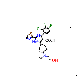 CC(=O)N(CCO)C1CCC(C2=C(C(=O)O)C(c3ccc(F)c(F)c3Cl)N=C(c3nccs3)N2)CC1